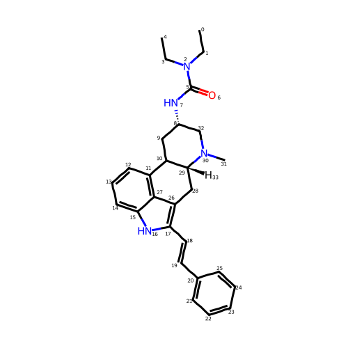 CCN(CC)C(=O)N[C@H]1CC2c3cccc4[nH]c(C=Cc5ccccc5)c(c34)C[C@H]2N(C)C1